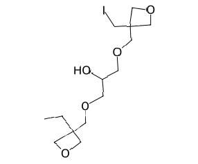 CCC1(COCC(O)COCC2(CI)COC2)COC1